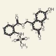 CS(=O)(=O)Nc1ccccc1C(=O)OCc1cc(=O)oc2cc(O)ccc12